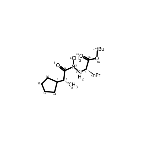 CCC[C@H]([SiH2]N(C)C(=O)[C@H](C)C1CCCC1)C(=O)OC(C)(C)C